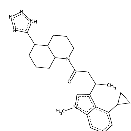 CC(CC(=O)N1CCCC2C(c3nnn[nH]3)CCCC21)c1cn(C)c2cccc(C3CC3)c12